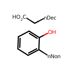 CCCCCCCCCCCC(=O)O.CCCCCCCCCc1ccccc1O